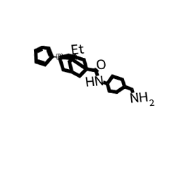 CC[C@]12CC3CC(C(=O)NC4CCC(CN)CC4)(C1)C[C@@](c1ccccc1)(C3)C2